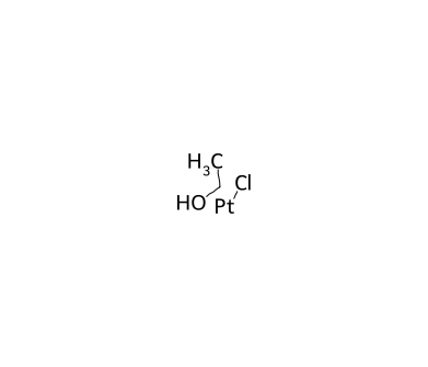 CCO.[Cl][Pt]